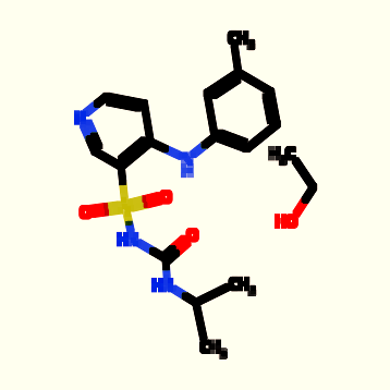 CCO.Cc1cccc(Nc2ccncc2S(=O)(=O)NC(=O)NC(C)C)c1